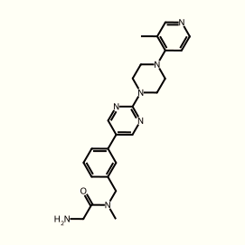 Cc1cnccc1N1CCN(c2ncc(-c3cccc(CN(C)C(=O)CN)c3)cn2)CC1